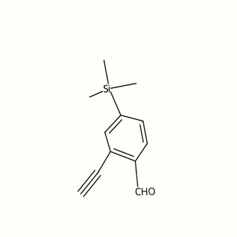 C#Cc1cc([Si](C)(C)C)ccc1C=O